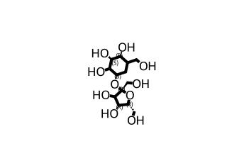 OCC1C[C@H](O[C@]2(CO)O[C@H](CO)[C@H](O)C2O)C(O)[C@@H](O)[C@@H]1O